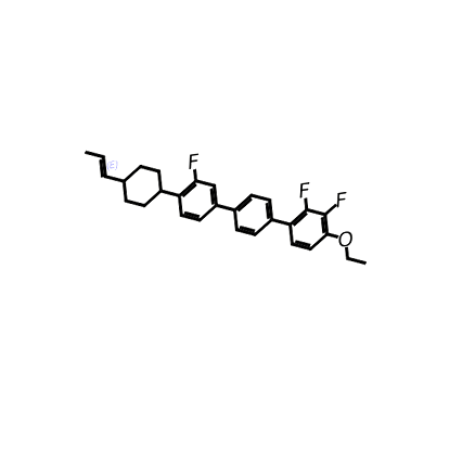 C/C=C/C1CCC(c2ccc(-c3ccc(-c4ccc(OCC)c(F)c4F)cc3)cc2F)CC1